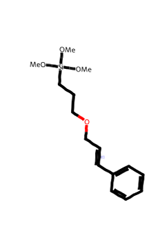 CO[Si](CCCOC/C=C/c1ccccc1)(OC)OC